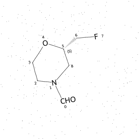 O=CN1CCO[C@H](CF)C1